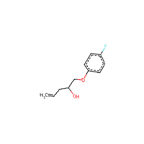 C=CCC(O)COc1ccc(F)cc1